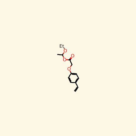 C=Cc1ccc(OCC(=O)OC(C)OCC)cc1